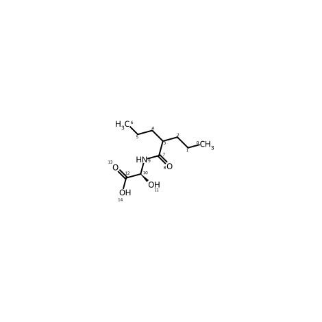 CCCC(CCC)C(=O)N[C@@H](O)C(=O)O